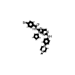 CN1CCN(c2ccc(Nc3ncc4nc(NC(=O)c5ccc(Br)cc5)n(C5CCCC5)c4n3)cc2)CC1